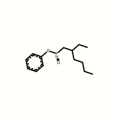 CCCCC(CC)C[PH](=O)Oc1ccccc1